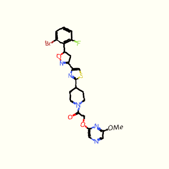 COc1cncc(OCC(=O)N2CCC(c3nc(C4=NOC(c5c(F)cccc5Br)C4)cs3)CC2)n1